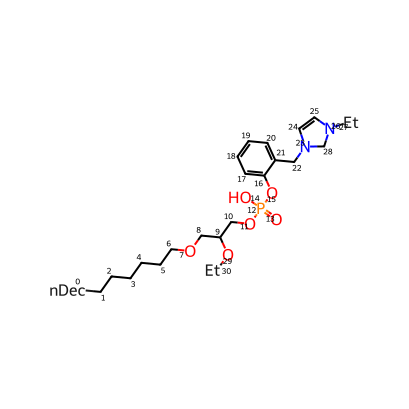 CCCCCCCCCCCCCCCCOCC(COP(=O)(O)Oc1ccccc1CN1C=CN(CC)C1)OCC